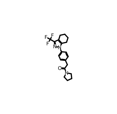 O=C(Cc1ccc(-n2nc(C(F)(F)F)c3c2CCCC3)cc1)N1CCCC1